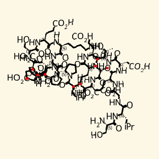 CC(C)C[C@H](NC(=O)[C@@H](N)CO)C(=O)NCC(=O)N[C@@H](CCC(=O)O)C(=O)N[C@@H](CC(=O)O)C(=O)N[C@H](C(=O)N[C@@H](CCCCN)C(=O)N[C@@H](CCC(=O)O)C(=O)N[C@@H](C)C(=O)N[C@@H](CC(=O)O)C(=O)N[C@@H](CC(C)C)C(=O)N1CCC[C@H]1C(=O)N[C@@H](CCC(=O)O)C(=O)N1CCC[C@H]1C(=O)N[C@@H](CO)C(=O)N[C@@H](CCC(=O)O)C(=O)N[C@@H](CCCCN)C(=O)N[C@@H](CCC(N)=O)C(=O)N1CCC[C@H]1C(=O)N[C@@H](C)C(=O)O)[C@@H](C)O